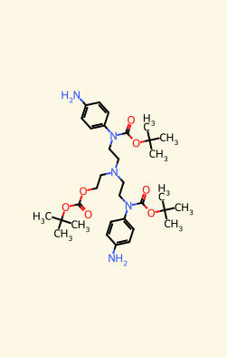 CC(C)(C)OC(=O)OCCN(CCN(C(=O)OC(C)(C)C)c1ccc(N)cc1)CCN(C(=O)OC(C)(C)C)c1ccc(N)cc1